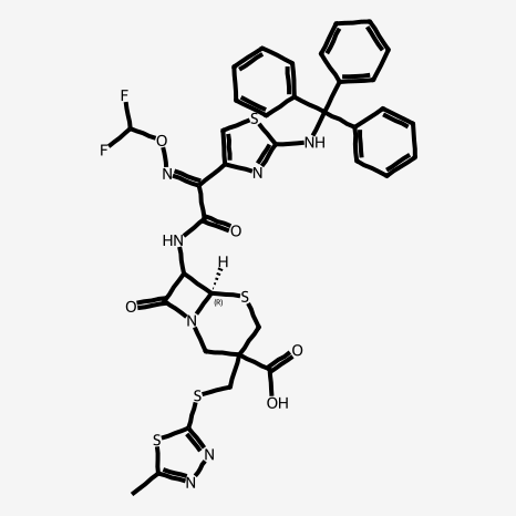 Cc1nnc(SCC2(C(=O)O)CS[C@@H]3C(NC(=O)C(=NOC(F)F)c4csc(NC(c5ccccc5)(c5ccccc5)c5ccccc5)n4)C(=O)N3C2)s1